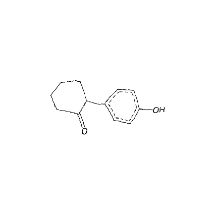 O=C1CCCCC1c1ccc(O)cc1